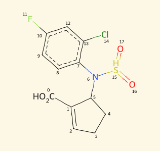 O=C(O)C1=CCCC1N(c1ccc(F)cc1Cl)[SH](=O)=O